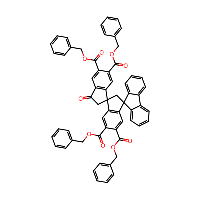 O=C(OCc1ccccc1)c1cc2c(cc1C(=O)OCc1ccccc1)C1(CC2=O)CC2(c3ccccc3-c3ccccc32)c2cc(C(=O)OCc3ccccc3)c(C(=O)OCc3ccccc3)cc21